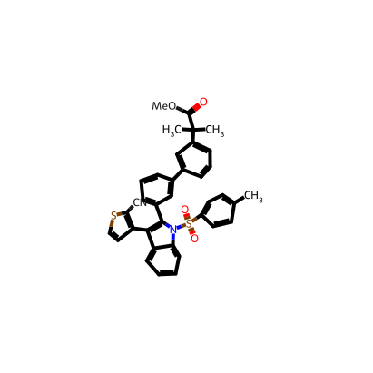 COC(=O)C(C)(C)c1cccc(-c2cccc(-c3c(-c4ccsc4C#N)c4ccccc4n3S(=O)(=O)c3ccc(C)cc3)c2)c1